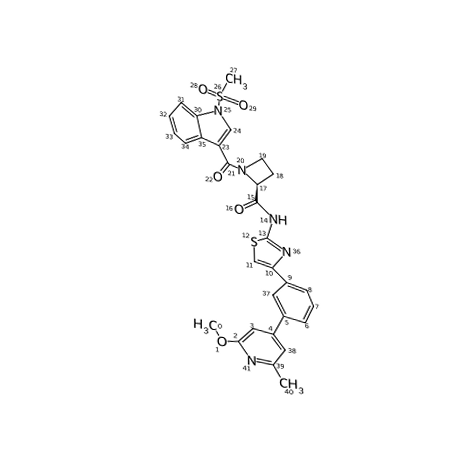 COc1cc(-c2cccc(-c3csc(NC(=O)[C@@H]4CCN4C(=O)c4cn(S(C)(=O)=O)c5ccccc45)n3)c2)cc(C)n1